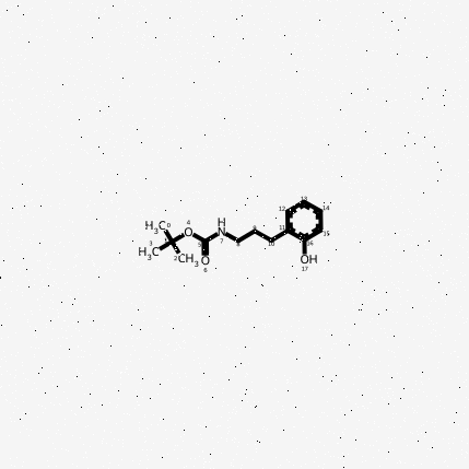 CC(C)(C)OC(=O)NCCCc1ccccc1O